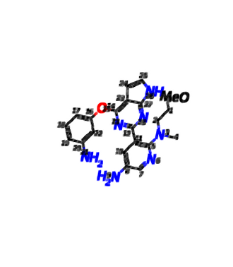 COCCN(C)c1ncc(N)cc1-c1nc(Oc2cccc(N)c2)c2cc[nH]c2n1